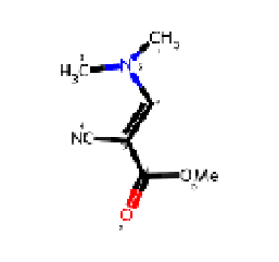 COC(=O)C(C#N)=CN(C)C